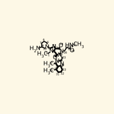 CCn1c(N2CCCC(N)C2)nc2c(=O)n(CCC(=O)NC)n(Cc3nc(C)c4c(C)cccc4n3)c(=O)c21